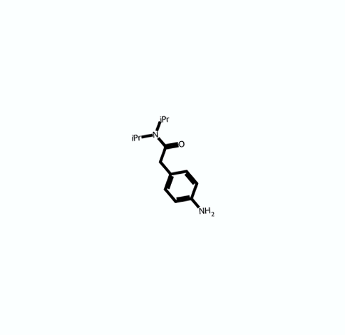 CC(C)N(C(=O)Cc1ccc(N)cc1)C(C)C